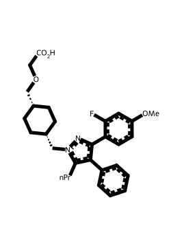 CCCc1c(-c2ccccc2)c(-c2ccc(OC)cc2F)nn1C[C@H]1CC[C@@H](COCC(=O)O)CC1